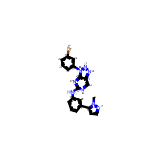 Cn1nccc1-c1cccc(Nc2ncc3nnn(-c4cccc(Br)c4)c3n2)c1